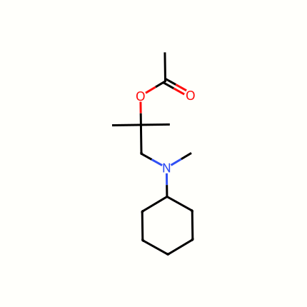 CC(=O)OC(C)(C)CN(C)C1CCCCC1